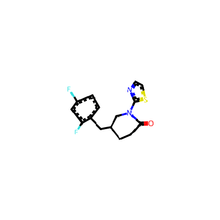 O=C1CCC(Cc2ccc(F)cc2F)CN1c1nccs1